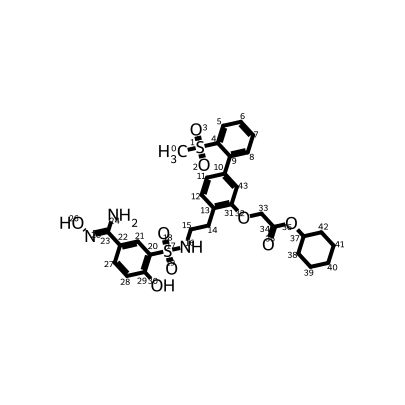 CS(=O)(=O)c1ccccc1-c1ccc(CCNS(=O)(=O)c2cc(C(N)=NO)ccc2O)c(OCC(=O)OC2CCCCC2)c1